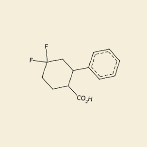 O=C(O)C1CCC(F)(F)CC1c1ccccc1